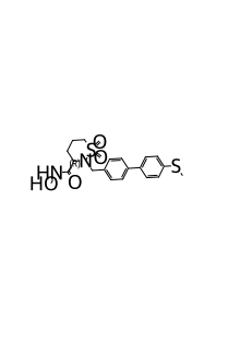 CSc1ccc(-c2ccc(CN3[C@@H](C(=O)NO)CCCS3(=O)=O)cc2)cc1